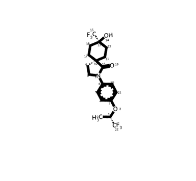 C[C@H](Oc1ccc(N2CC[C@]3(CC[C@@](O)(C(F)(F)F)CC3)C2=O)cc1)C(F)(F)F